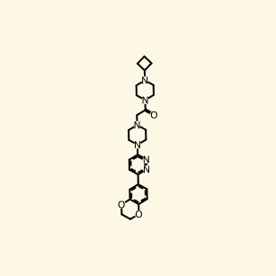 O=C(CN1CCN(c2ccc(-c3ccc4c(c3)OCCO4)nn2)CC1)N1CCN(C2CCC2)CC1